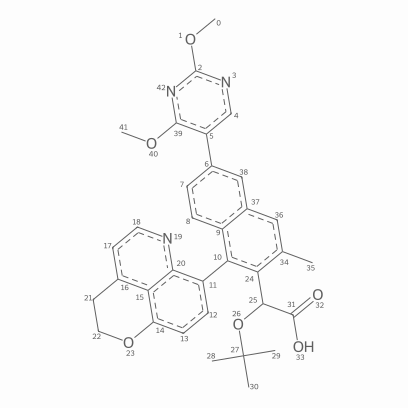 COc1ncc(-c2ccc3c(-c4ccc5c6c(ccnc46)CCO5)c(C(OC(C)(C)C)C(=O)O)c(C)cc3c2)c(OC)n1